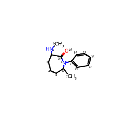 CNC1CCCC(C)N(c2ccccc2)C1=O